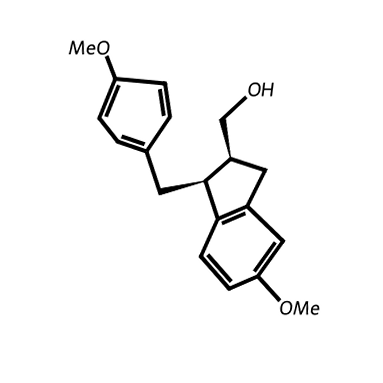 COc1ccc(C[C@@H]2c3ccc(OC)cc3C[C@@H]2CO)cc1